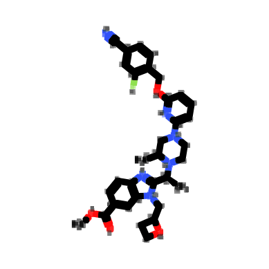 COC(=O)c1ccc2nc([C@H](C)N3CCN(c4cccc(OCc5ccc(C#N)cc5F)n4)CC3C)n(CC3CCO3)c2c1